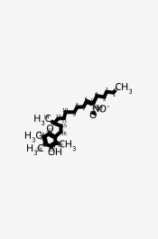 CCCCC/C(=C/CCCCCCC1(C)CCc2c(C)c(O)c(C)c(C)c2O1)[N+](=O)[O-]